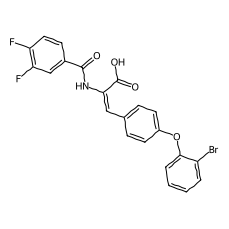 O=C(O)/C(=C\c1ccc(Oc2ccccc2Br)cc1)NC(=O)c1ccc(F)c(F)c1